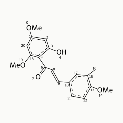 COc1cc(O)c(C(=O)/C=C/c2ccc(OC)c(C)c2)c(OC)c1